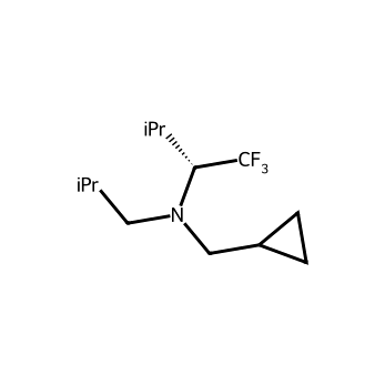 CC(C)CN(CC1CC1)[C@H](C(C)C)C(F)(F)F